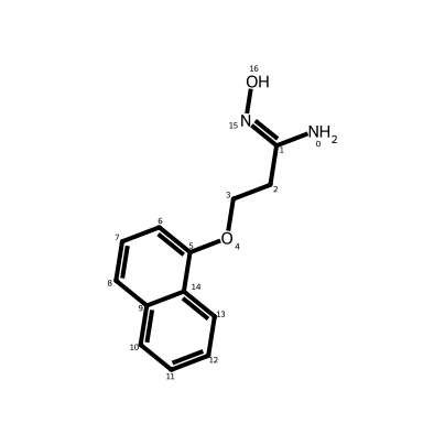 NC(CCOc1cccc2ccccc12)=NO